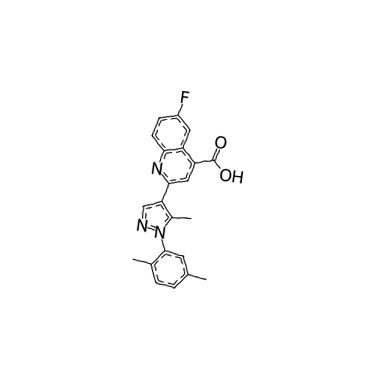 Cc1ccc(C)c(-n2ncc(-c3cc(C(=O)O)c4cc(F)ccc4n3)c2C)c1